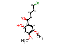 COc1cc(O)c(C(=O)CCCCBr)cc1OC